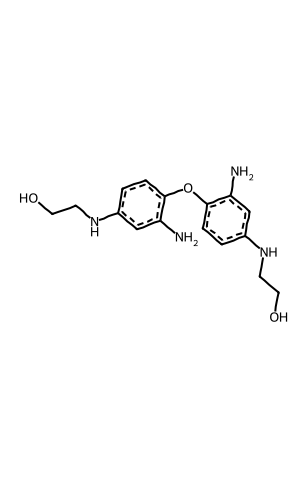 Nc1cc(NCCO)ccc1Oc1ccc(NCCO)cc1N